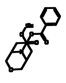 CC(C)(C)OC(=O)N1C2COCC1CN(OC(=O)c1ccccc1)C2